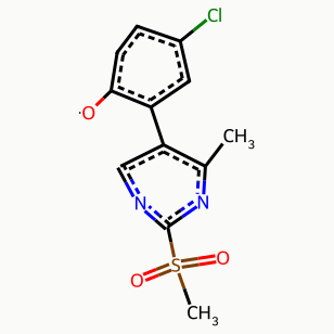 Cc1nc(S(C)(=O)=O)ncc1-c1cc(Cl)ccc1[O]